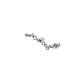 CCC(=NOCc1ccc(OC)cc1)c1ccc(OCC(=O)N2CCC3(CC2)CNC(=O)O3)cc1